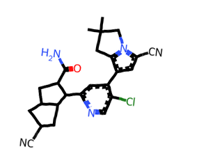 CC1(C)Cc2c(-c3cc(C4C(C(N)=O)CC5CC(C#N)CC54)ncc3Cl)cc(C#N)n2C1